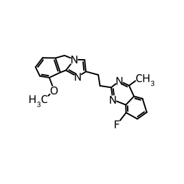 COc1cccc2c1-c1nc(CCc3nc(C)c4cccc(F)c4n3)cn1C2